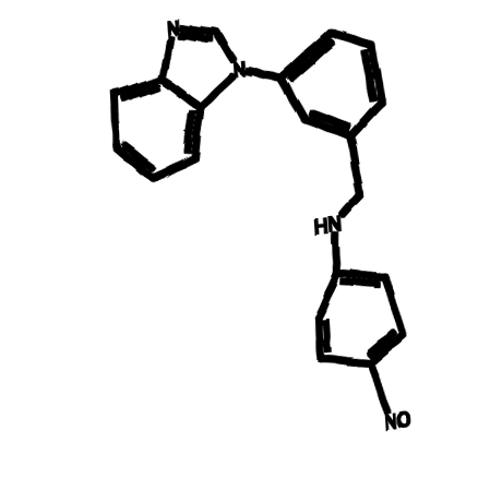 O=Nc1ccc(NCc2cccc(-n3cnc4ccccc43)c2)cc1